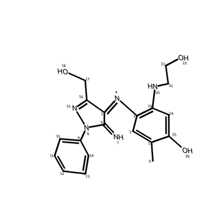 Cc1cc(N=C2C(=N)N(c3ccccc3)N=C2CO)c(NCCO)cc1O